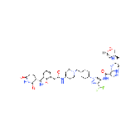 O=C1CC[C@H](c2noc3c(CC(=O)NC4CCN(CC5CCC(n6cc(NC(=O)c7cnn8ccc(N9C[C@H]%10C[C@@H]9CO%10)nc78)c(C(F)F)n6)CC5)CC4)cccc23)C(=O)N1